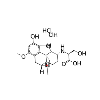 COc1cc(O)c2c3c1C[C@@H]1[C@@H]4CC[C@@H](N[C@@H](CO)C(=O)O)[C@H](O2)[C@]34CCN1C.Cl.Cl